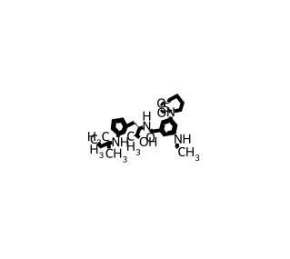 CCNc1cc(C(=O)N[C@@H](Cc2cccc(NC(C)(C)CC)c2)[C@@H](C)O)cc(N2CCCCS2(=O)=O)c1